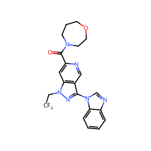 O=C(c1cc2c(cn1)c(-n1cnc3ccccc31)nn2CC(F)(F)F)N1CCCOCC1